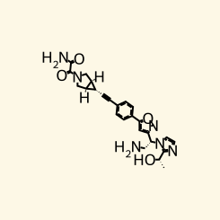 C[C@H](O)c1nccn1[C@H](CN)c1cc(-c2ccc(C#C[C@@H]3[C@H]4CN(C(=O)C(N)=O)C[C@@H]34)cc2)on1